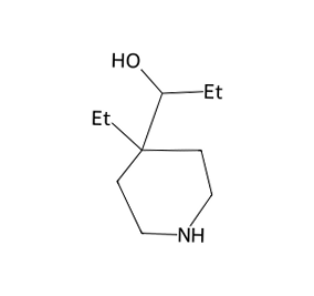 CCC(O)C1(CC)CCNCC1